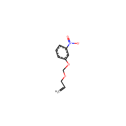 C=CCOCOc1cccc([N+](=O)[O-])c1